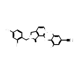 N#Cc1cc(F)c(Oc2nccc3c2C(=O)N(Cc2ccc(Br)cc2F)C3)c(F)c1